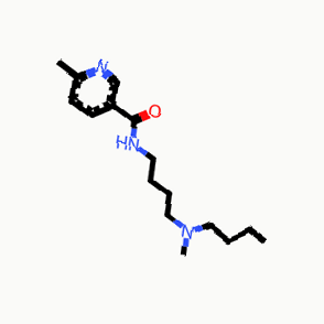 CCCCN(C)CCCCNC(=O)c1ccc(C)nc1